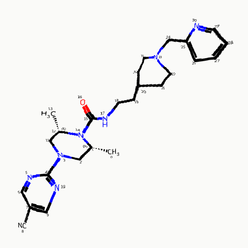 C[C@@H]1CN(c2ncc(C#N)cn2)C[C@H](C)N1C(=O)NCCC1CCN(Cc2ccccn2)CC1